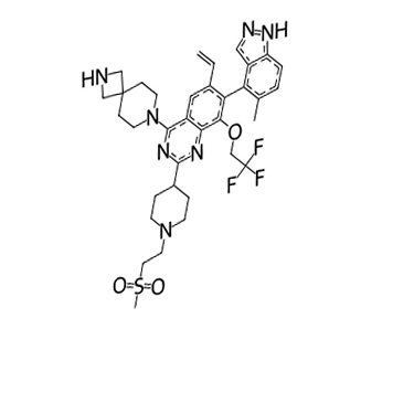 C=Cc1cc2c(N3CCC4(CC3)CNC4)nc(C3CCN(CCS(C)(=O)=O)CC3)nc2c(OCC(F)(F)F)c1-c1c(C)ccc2[nH]ncc12